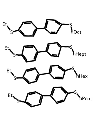 CCCCCCCCSc1ccc(-c2ccc(SCC)cc2)cc1.CCCCCCCSc1ccc(-c2ccc(SCC)cc2)cc1.CCCCCCSc1ccc(-c2ccc(SCC)cc2)cc1.CCCCCSc1ccc(-c2ccc(SCC)cc2)cc1